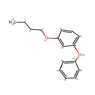 [CH2]CCCOc1cccc(Oc2ccccc2)c1